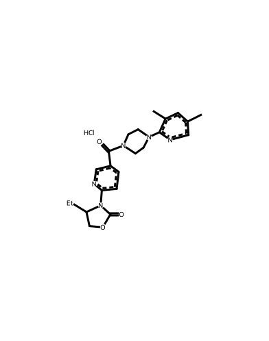 CCC1COC(=O)N1c1ccc(C(=O)N2CCN(c3ncc(C)cc3C)CC2)cn1.Cl